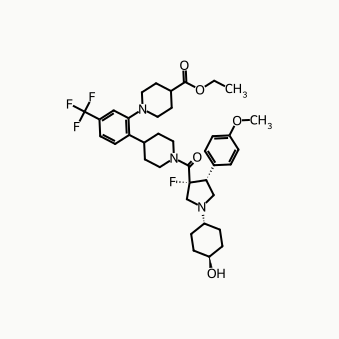 CCOC(=O)C1CCN(c2cc(C(F)(F)F)ccc2C2CCN(C(=O)[C@]3(F)CN([C@H]4CC[C@H](O)CC4)C[C@H]3c3ccc(OC)cc3)CC2)CC1